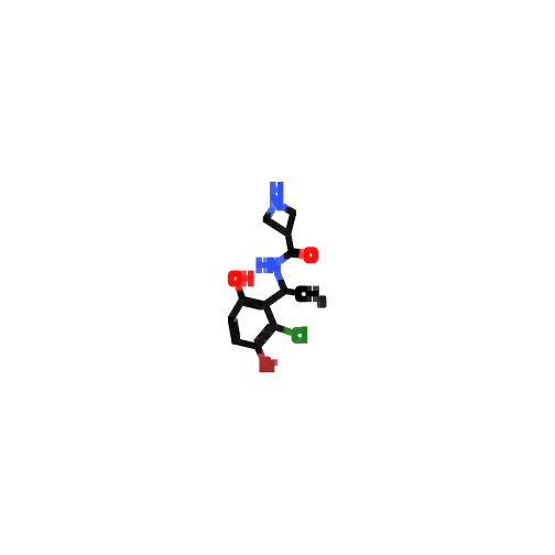 CC(NC(=O)C1CNC1)c1c(O)ccc(Br)c1Cl